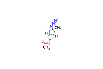 CC(=O)O[C@H]1C[C@@H]2C[C@](C)(N=[N+]=[N-])C[C@@H]2C1